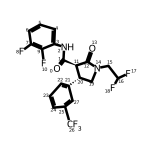 O=C(Nc1cccc(F)c1F)[C@H]1C(=O)N(CC(F)F)C[C@@H]1c1cccc(C(F)(F)F)c1